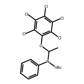 CCCCN(c1ccccc1)C(C)Oc1c(Cl)c(Cl)c(Cl)c(Cl)c1Cl